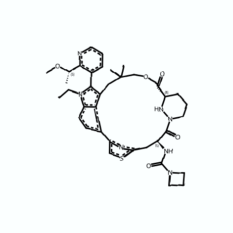 CCn1c(-c2cccnc2[C@H](C)OC)c2c3cc(ccc31)-c1csc(n1)C[C@H](NC(=O)N1CCC1)C(=O)N1CCC[C@](C=O)(COCC(C)(C)C2)N1